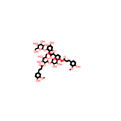 COc1cc(/C=C/C(=O)OCC2O[C@@H](Oc3cc4c(O[C@@H]5OC(CO)[C@@H](O)[C@H](O)C5O)cc(O)cc4[o+]c3-c3ccc(O)cc3)C(O[C@@H]3OC(CO)[C@@H](O)[C@H](O)C3OC(=O)/C=C/c3ccc(O)c(OC)c3)[C@@H](O)[C@@H]2O)ccc1O